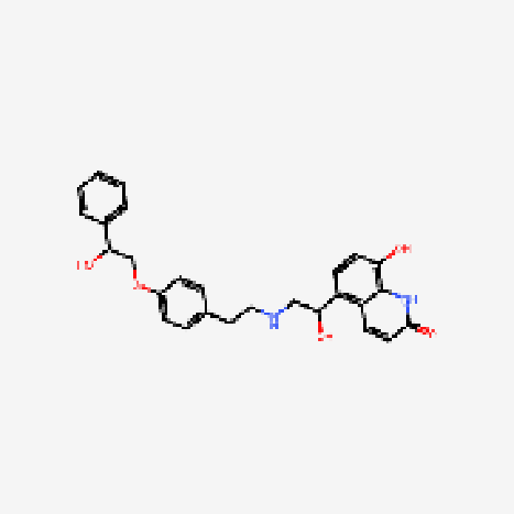 O=c1ccc2c(C(O)CNCCc3ccc(OCC(O)c4ccccc4)cc3)ccc(O)c2[nH]1